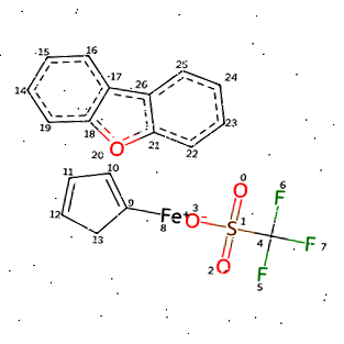 O=S(=O)([O-])C(F)(F)F.[Fe+][C]1=CC=CC1.c1ccc2c(c1)oc1ccccc12